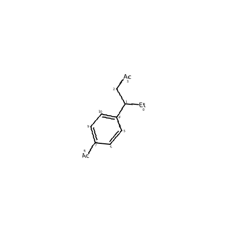 CCC(CC(C)=O)c1ccc(C(C)=O)cc1